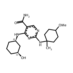 COC1CCC(C)(Nc2ncc(C(N)=O)c(N[C@@H]3CCC[C@H](O)C3)n2)CC1